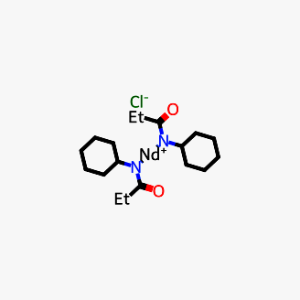 CCC(=O)[N]([Nd+][N](C(=O)CC)C1CCCCC1)C1CCCCC1.[Cl-]